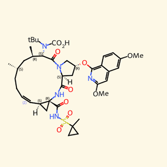 COc1ccc2c(O[C@@H]3C[C@H]4C(=O)N[C@]5(C(=O)NS(=O)(=O)C6(C)CC6)C[C@H]5/C=C\CC[C@H](C)C[C@@H](C)[C@H](N(C(=O)O)C(C)(C)C)C(=O)N4C3)nc(OC)cc2c1